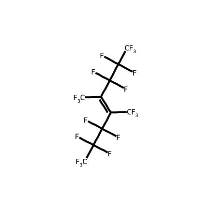 FC(F)(F)C(=C(C(F)(F)F)C(F)(F)C(F)(F)C(F)(F)F)C(F)(F)C(F)(F)C(F)(F)F